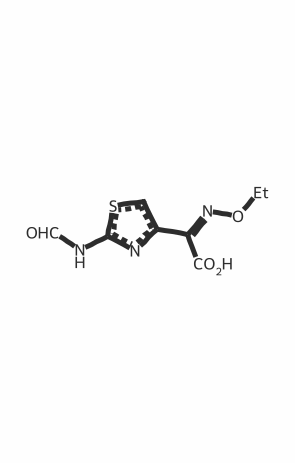 CCON=C(C(=O)O)c1csc(NC=O)n1